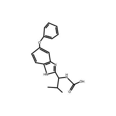 CC(C)C(NC(=O)O)c1nc2cc(Oc3ccccc3)ccc2[nH]1